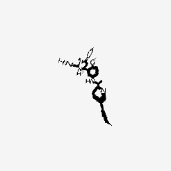 CC#Cc1ccc(C(C)Nc2ccc(Cl)c([C@]3(C)CC(=O)N(C)C(=N)N3)c2)nc1